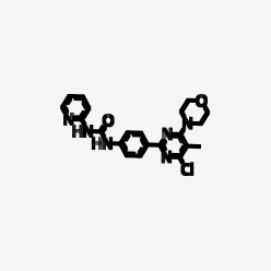 Cc1c(Cl)nc(-c2ccc(NC(=O)Nc3ccccn3)cc2)nc1N1CCOCC1